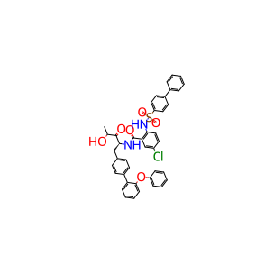 CC(O)C(=O)[C@H](Cc1ccc(-c2ccccc2Oc2ccccc2)cc1)NC(=O)c1cc(Cl)ccc1NS(=O)(=O)c1ccc(-c2ccccc2)cc1